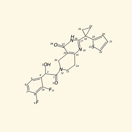 O=C(C(O)c1cccc(F)c1F)N1CCc2nc(C3(c4cccs4)CC3)[nH]c(=O)c2C1